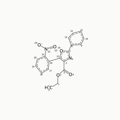 CCOC(=O)c1nc(-c2ccccc2)oc1-c1ccccc1[N+](=O)[O-]